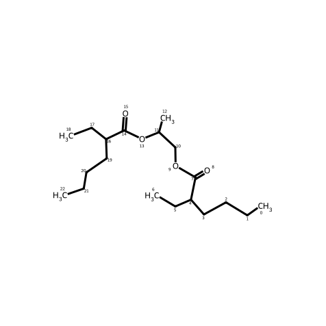 CCCCC(CC)C(=O)OCC(C)OC(=O)C(CC)CCCC